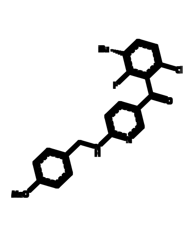 CC[C@@H](C)c1ccc(Cl)c(C(=O)c2ccc(NCc3ccc(OC)cc3)nc2)c1F